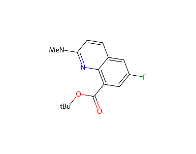 CNc1ccc2cc(F)cc(C(=O)OC(C)(C)C)c2n1